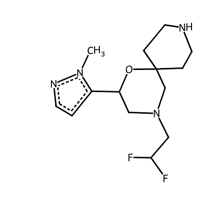 Cn1nccc1C1CN(CC(F)F)CC2(CCNCC2)O1